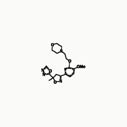 COc1ccc(C2=NOC(C)(c3nnco3)C2)cc1OCCN1CCOCC1